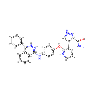 NC(=O)c1n[nH]cc1-c1cccnc1Oc1ccc(Nc2nnc(-c3ccccc3)c3ccccc23)cc1